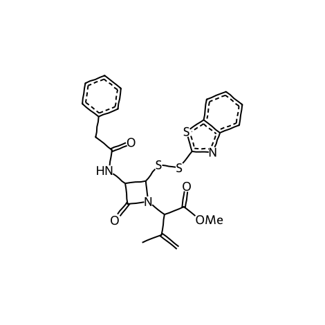 C=C(C)C(C(=O)OC)N1C(=O)C(NC(=O)Cc2ccccc2)C1SSc1nc2ccccc2s1